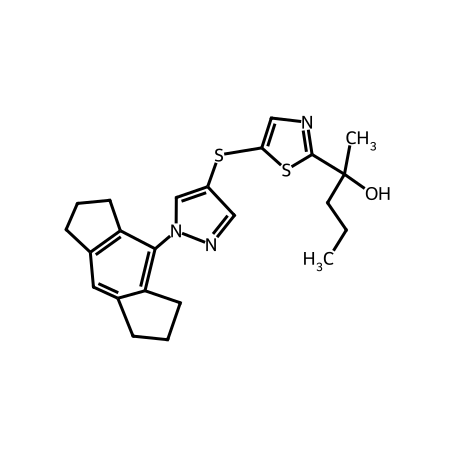 CCCC(C)(O)c1ncc(Sc2cnn(-c3c4c(cc5c3CCC5)CCC4)c2)s1